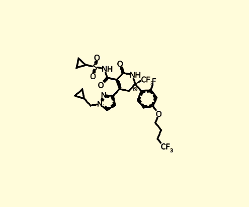 O=C1N[C@@](c2ccc(OCCCC(F)(F)F)cc2F)(C(F)(F)F)CC(c2ccn(CC3CC3)n2)=C1C(=O)NS(=O)(=O)C1CC1